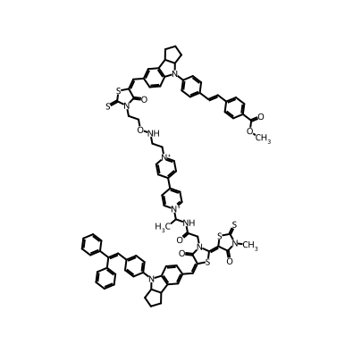 COC(=O)c1ccc(/C=C/c2ccc(N3c4ccc(/C=C5/SC(=S)N(CCONCC[n+]6ccc(-c7cc[n+](C(C)NC(=O)Cn8c(=O)/c(=C\c9ccc%10c(c9)C9CCCC9N%10c9ccc(C=C(c%10ccccc%10)c%10ccccc%10)cc9)s/c8=C8/SC(=S)N(C)C8=O)cc7)cc6)C5=O)cc4C4CCCC43)cc2)cc1